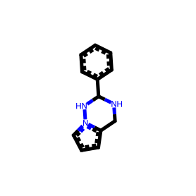 c1ccc(C2NCc3cccn3N2)cc1